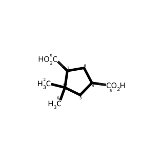 CC1(C)CC(C(=O)O)CC1C(=O)O